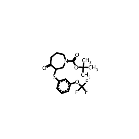 CC(C)(C)OC(=O)N1CCCC(=O)C(Sc2cccc(OC(F)(F)F)c2)C1